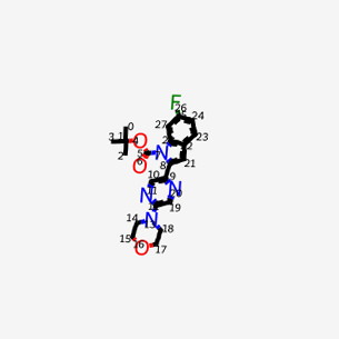 CC(C)(C)OC(=O)n1c(-c2cnc(N3CCOCC3)cn2)cc2ccc(F)cc21